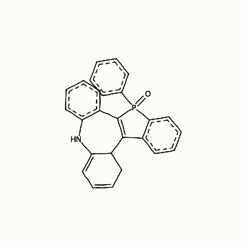 O=P1(c2ccccc2)C2=C(c3ccccc31)C1CC=CC=C1Nc1ccccc12